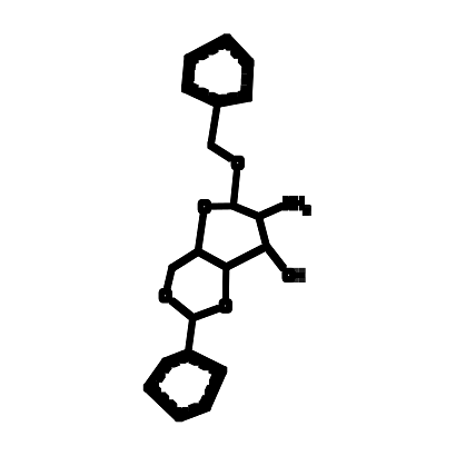 NC1C(OCc2ccccc2)OC2COC(c3ccccc3)OC2C1O